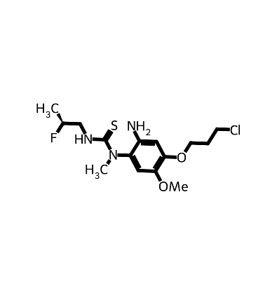 COc1cc(N(C)C(=S)NC[C@H](C)F)c(N)cc1OCCCCl